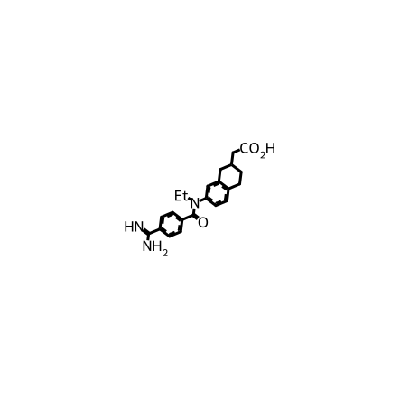 CCN(C(=O)c1ccc(C(=N)N)cc1)c1ccc2c(c1)CC(CC(=O)O)CC2